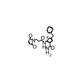 NC(=O)c1cc(Cc2ccccc2)sc1NC(=O)CCN1C(=O)C=CC1=O